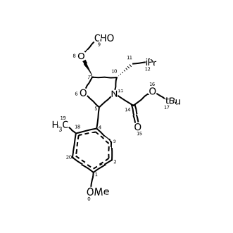 COc1ccc(C2O[C@@H](OC=O)[C@H](CC(C)C)N2C(=O)OC(C)(C)C)c(C)c1